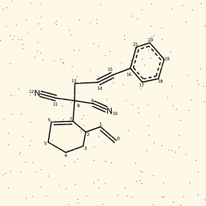 C=CC1CCCC=C1C(C#N)(C#N)CC#Cc1ccccc1